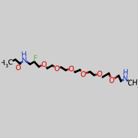 CCC(=O)NCC(F)COCCOCCOCCOCCOCCOCCNC